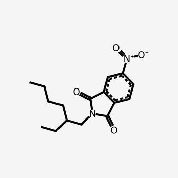 CCCCC(CC)CN1C(=O)c2ccc([N+](=O)[O-])cc2C1=O